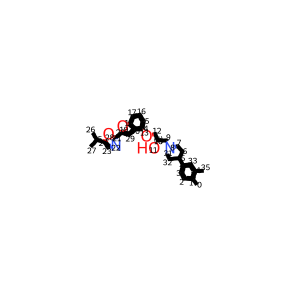 Cc1ccc(C2CCN(C[C@H](O)COc3cccc4oc(-c5ncc(C(C)C)o5)cc34)CC2)cc1C